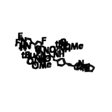 COC(=O)N[C@H](C(=O)N[C@@H](Cc1ccc(C#Cc2ccc(N3CC4CCC(C3)N4C3COC3)nc2)cc1)[C@@H](O)CN(Cc1c(F)cc(C(=N)/C=C\NC(F)F)cc1F)NC(=O)[C@@H](NC(=O)OC)C(C)(C)C)C(C)(C)C